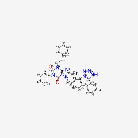 CCc1nc2c(c(=O)n(-c3ccccc3)c(=O)n2CCc2ccccc2)n1Cc1ccc(-c2ccccc2-c2nnn[nH]2)cc1